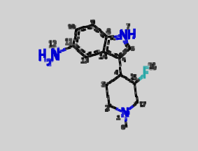 CN1CCC(c2c[nH]c3ccc(N)cc23)C(F)C1